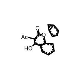 CC(=O)c1c(O)c2ccccc2oc1=O.c1cc2cc-2c1